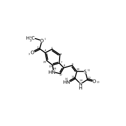 COC(=O)c1ccc2c(C=C3SC(=O)NC3=N)c[nH]c2c1